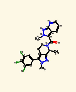 C[C@H]1c2nn(C)c(-c3cc(F)c(F)c(F)c3)c2CCN1C(=O)c1c2cccnc2nn1C